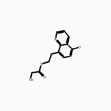 O=C(CO)OCCc1ccc(Cl)c2cccnc12